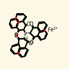 O=C(c1ccccc1)C(C(=O)c1ccccc1)[PH+](C(C(=O)c1ccccc1)C(=O)c1ccccc1)C(C(=O)c1ccccc1)C(=O)c1ccccc1.[Fe+2]